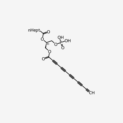 C#CC#CC#CC#CC#CC(=O)OC[C@H](COP(=O)(O)O)OC(=O)CCCCCCC